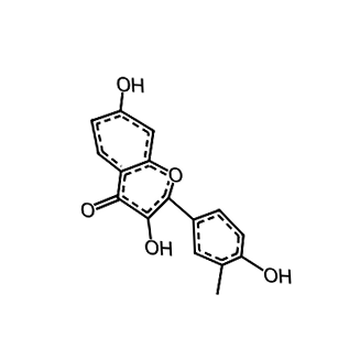 Cc1cc(-c2oc3cc(O)ccc3c(=O)c2O)ccc1O